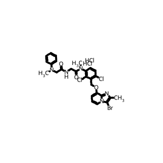 Cc1nc2c(OCc3c(Cl)ccc(N(C)C(=O)CNC(=O)CN(C)c4ccccc4)c3Cl)cccn2c1Br.Cl.Cl